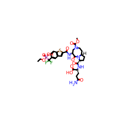 CCOP(=O)(O)C(F)(F)c1ccc2sc(C(=O)N[C@H]3CN(C(=O)OC)CC[C@H]4CC[C@@H](C(=O)N[C@@H](CCC(N)=O)C(=O)O)N4C3=O)cc2c1